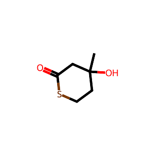 CC1(O)CCSC(=O)C1